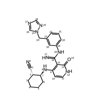 N#C[C@H]1CCCC[C@@H]1Nc1cc[nH]c(=O)c1C(=N)Nc1cccc(Cn2cncn2)c1